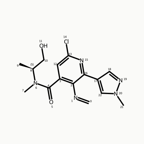 C=Nc1c(C(=O)N(C)[C@@H](C)CO)cc(Cl)nc1-c1cnn(C)c1